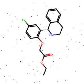 CCOC(=O)COc1ccc(Cl)cc1[C@H]1NCCc2ccccc21